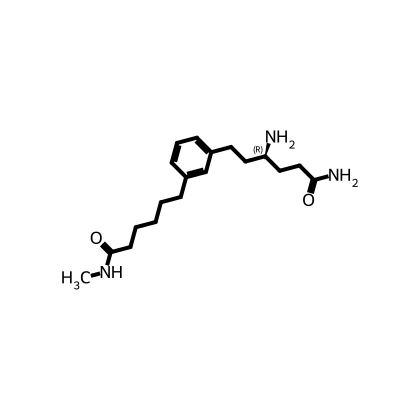 CNC(=O)CCCCCc1cccc(CC[C@@H](N)CCC(N)=O)c1